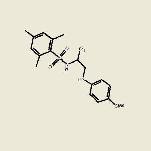 CSc1ccc(NCC(NS(=O)(=O)c2c(C)cc(C)cc2C)C(F)(F)F)cc1